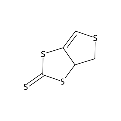 S=C1SC2=CSCC2S1